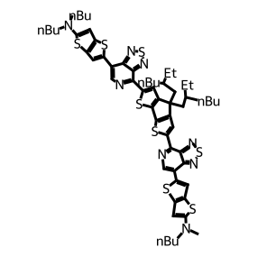 CCCCC(CC)CC1(CC(CC)CCCC)c2cc(-c3ncc(-c4cc5sc(N(C)CCCC)cc5s4)c4nsnc34)sc2-c2sc(-c3ncc(-c4cc5sc(N(CCCC)CCCC)cc5s4)c4nsnc34)cc21